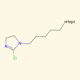 CCCCCCCCCCCCN1CCN=C1Cl